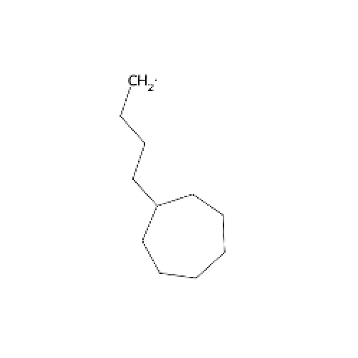 [CH2]CCCC1CCCCCC1